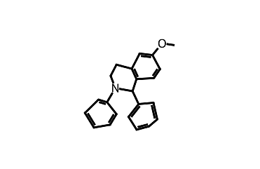 COc1ccc2c(c1)CCN(c1ccccc1)C2c1ccccc1